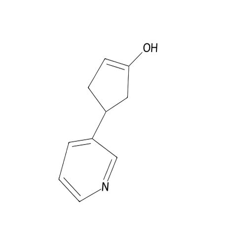 OC1=CCC(c2cccnc2)C1